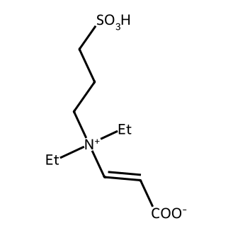 CC[N+](C=CC(=O)[O-])(CC)CCCS(=O)(=O)O